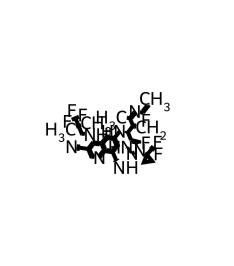 C=C(/C(C)=N\C(F)=C/C)[C@H](Nc1cc(C#N)c2ncc(C#N)c(NCC(C)(C)C(F)(F)F)c2c1)C1=CN(C2(C(F)(F)F)CC2)NN1